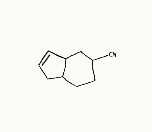 N#CC1CCC2CC=CC2C1